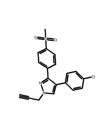 C#CCn1cc(-c2ccc(Cl)cc2)c(-c2ccc(S(C)(=O)=O)cc2)n1